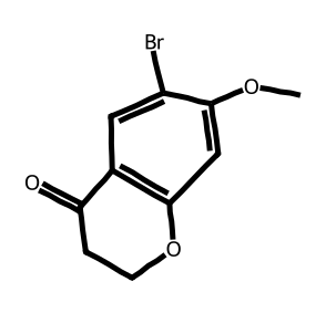 COc1cc2c(cc1Br)C(=O)CCO2